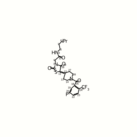 CC(C)CCNC(=O)CN1C(=O)SC(=C2CCN(C(=O)c3cc(F)ccc3C(F)(F)F)CC2)C1=O